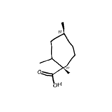 CC1C[C@@H](C)CC[C@]1(C)C(=O)O